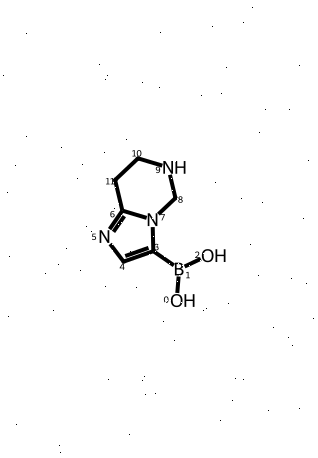 OB(O)c1cnc2n1CNCC2